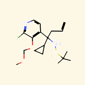 C=CCC(N[S@@+]([O-])C(C)(C)C)(c1ccnc(Cl)c1OCOC)C1CC1